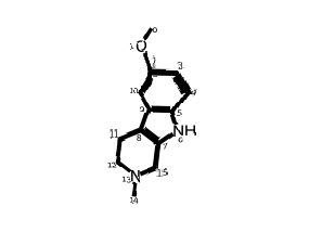 COc1ccc2[nH]c3c(c2c1)CCN(C)C3